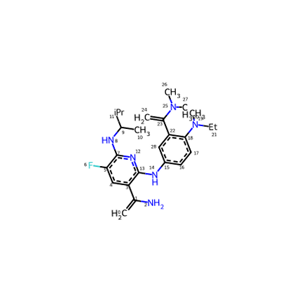 C=C(N)c1cc(F)c(NC(C)C(C)C)nc1Nc1ccc(N(C)CC)c(C(=C)N(C)C)c1